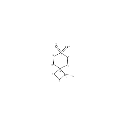 CN1CCC12CCS(=O)(=O)CC2